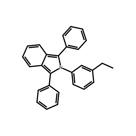 CCc1cccc(-n2c(-c3ccccc3)c3ccccc3c2-c2ccccc2)c1